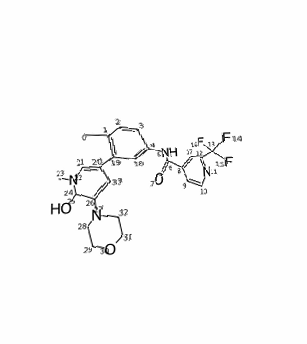 Cc1ccc(NC(=O)c2ccnc(C(F)(F)F)c2)cc1C1=CN(C)C(O)C(N2CCOCC2)=C1